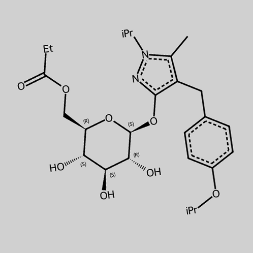 CCC(=O)OC[C@H]1O[C@@H](Oc2nn(C(C)C)c(C)c2Cc2ccc(OC(C)C)cc2)[C@H](O)[C@@H](O)[C@@H]1O